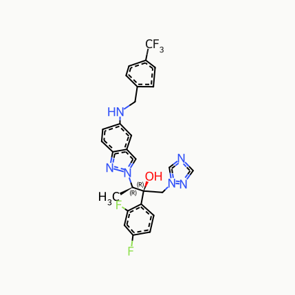 C[C@@H](n1cc2cc(NCc3ccc(C(F)(F)F)cc3)ccc2n1)[C@](O)(Cn1cncn1)c1ccc(F)cc1F